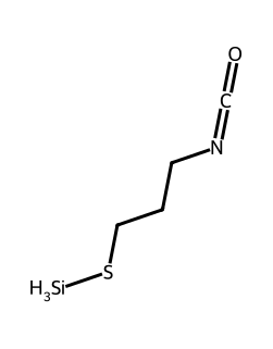 O=C=NCCCS[SiH3]